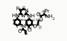 C=CC(=O)Nc1cccc(Nc2nc(Nc3ccc(Cl)c(O[C@@H](C)COC(=O)C(N)C(C)C)c3)ncc2F)c1